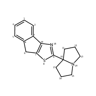 c1ccc2c(c1)Cc1sc(C34CCCN3CCC4)nc1-2